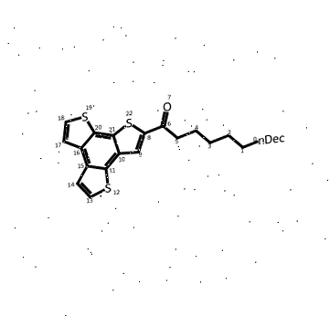 CCCCCCCCCCCCCCCC(=O)c1cc2c3sccc3c3ccsc3c2s1